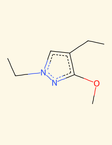 CCc1cn(CC)nc1OC